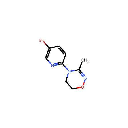 CC1=NOCCN1c1ccc(Br)cn1